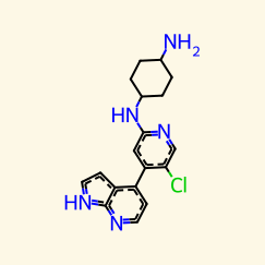 NC1CCC(Nc2cc(-c3ccnc4[nH]ccc34)c(Cl)cn2)CC1